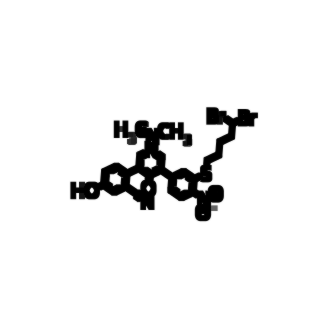 CN(C)n1cc(-c2ccc([N+](=O)[O-])c(SCCCCC(Br)Br)c2)c(=O)c(-c2ccc(O)cc2C#N)c1